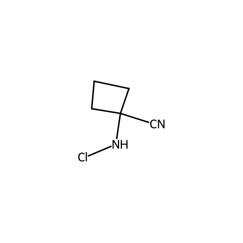 N#CC1(NCl)CCC1